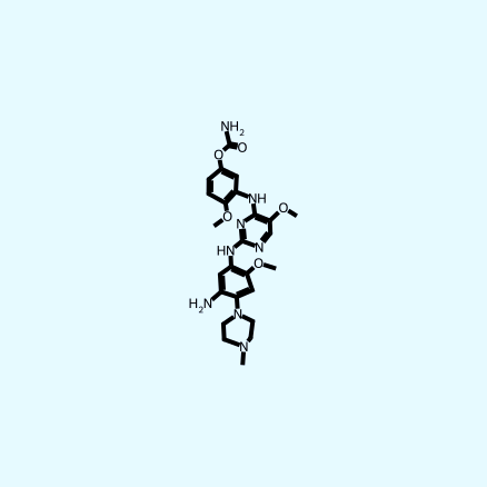 COc1cc(N2CCN(C)CC2)c(N)cc1Nc1ncc(OC)c(Nc2cc(OC(N)=O)ccc2OC)n1